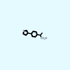 CC(C(=O)O)c1ccc(-c2ccsc2)cc1